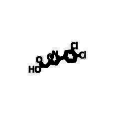 O=C(O)Cc1cc(-c2ccc(Cl)c(Cl)c2)no1